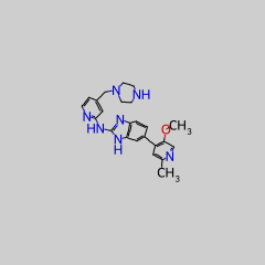 COc1cnc(C)cc1-c1ccc2nc(Nc3cc(CN4CCNCC4)ccn3)[nH]c2c1